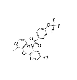 Cc1ncccc1Oc1ncc(Cl)cc1NS(=O)(=O)c1ccc(OC(F)(F)F)cc1